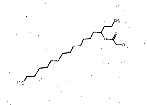 CCCCCCCCCCCCCCC(CCC)OC(=O)CC